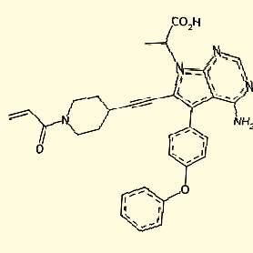 C=CC(=O)N1CCC(C#Cc2c(-c3ccc(Oc4ccccc4)cc3)c3c(N)ncnc3n2C(C)C(=O)O)CC1